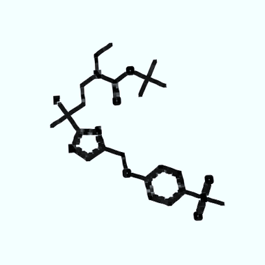 CCN(CCC(C)(F)c1ncc(COc2ccc(S(C)(=O)=O)cc2)s1)C(=O)OC(C)(C)C